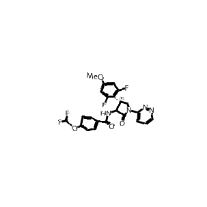 COc1cc(F)c([C@@H]2CN(c3cccnn3)C(=O)C2NC(=O)c2ccc(OC(F)F)cc2)c(F)c1